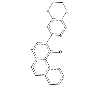 O=c1c(-c2cc3c(cn2)OCCO3)coc2ccc3ccccc3c12